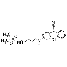 CC(C)S(=O)(=O)NCCCCCNc1ccc(C(C#N)c2ccccc2)c(Cl)c1